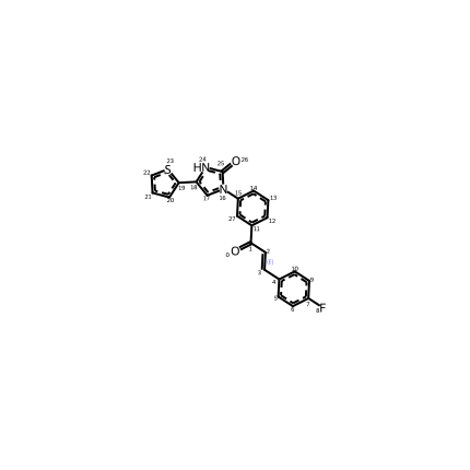 O=C(/C=C/c1ccc(F)cc1)c1cccc(-n2cc(-c3cccs3)[nH]c2=O)c1